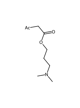 CC(=O)CC(=O)OCCCN(C)C